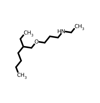 CCCCC(CC)COCCCNCC